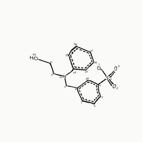 O=S(=O)(Cl)c1cccc(CN(CCO)c2ccccc2)c1